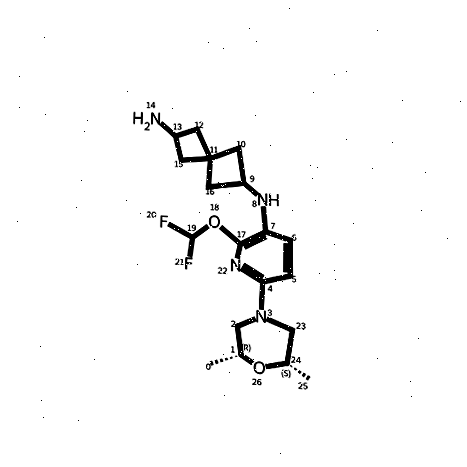 C[C@@H]1CN(c2ccc(NC3CC4(CC(N)C4)C3)c(OC(F)F)n2)C[C@H](C)O1